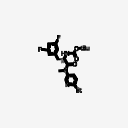 CCc1ccc(N(C)C(=O)[C@H](Cc2cc(F)cc(F)c2)NC(=O)OC(C)(C)C)cn1